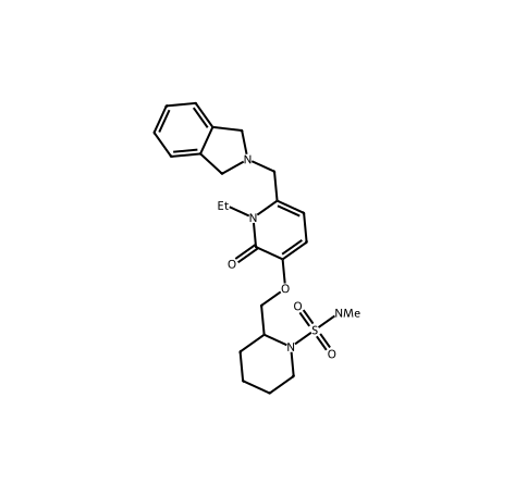 CCn1c(CN2Cc3ccccc3C2)ccc(OCC2CCCCN2S(=O)(=O)NC)c1=O